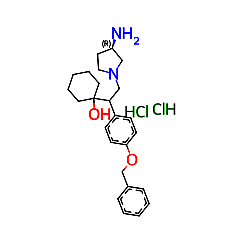 Cl.Cl.N[C@@H]1CCN(CC(c2ccc(OCc3ccccc3)cc2)C2(O)CCCCC2)C1